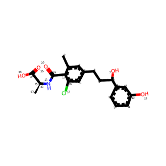 Cc1cc(CCC(O)c2cccc(O)c2)cc(Cl)c1C(=O)N[C@@H](C)C(=O)O